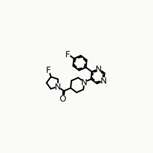 O=C(C1CCN(c2cncnc2-c2ccc(F)cc2)CC1)N1CCC(F)C1